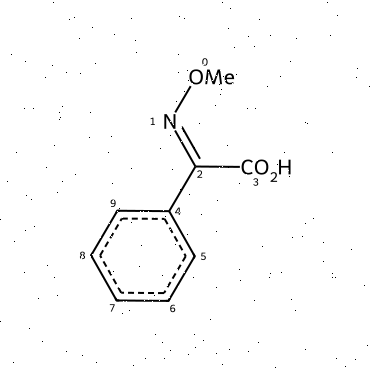 CON=C(C(=O)O)c1ccccc1